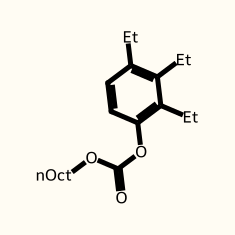 CCCCCCCCOC(=O)Oc1ccc(CC)c(CC)c1CC